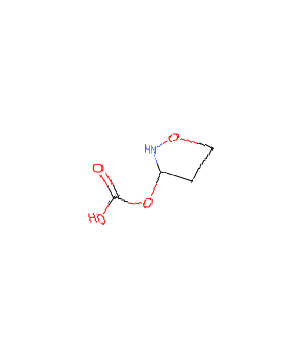 O=C(O)OC1CCON1